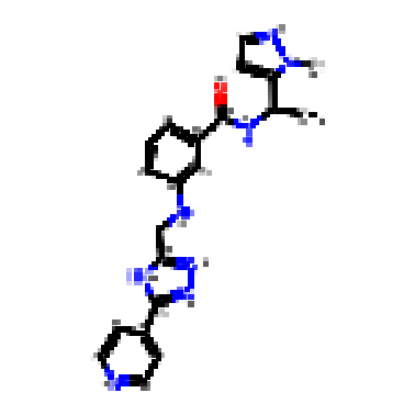 CCn1nccc1C(C)NC(=O)c1cccc(NCc2nnc(-c3ccncc3)[nH]2)c1